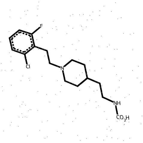 O=C(O)NCCC1CCN(CCc2c(F)cccc2Cl)CC1